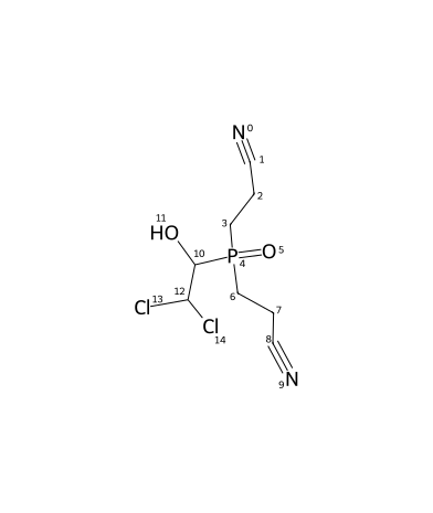 N#CCCP(=O)(CCC#N)C(O)C(Cl)Cl